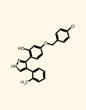 Cc1ccccc1-c1c[nH]nc1-c1ccc(OCc2ccc(Cl)cc2)cc1O